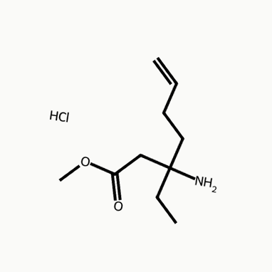 C=CCCC(N)(CC)CC(=O)OC.Cl